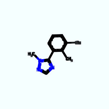 Cc1c(-c2ncnn2C)cccc1C(C)(C)C